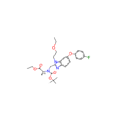 CCOCCn1c(CN(C(=O)OC(C)(C)C)[C@@H](C)C(=O)OCC)nc2ccc(Oc3ccc(F)cc3)cc21